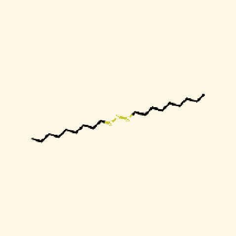 CCCCCCCCCSSSCCCCCCCCC